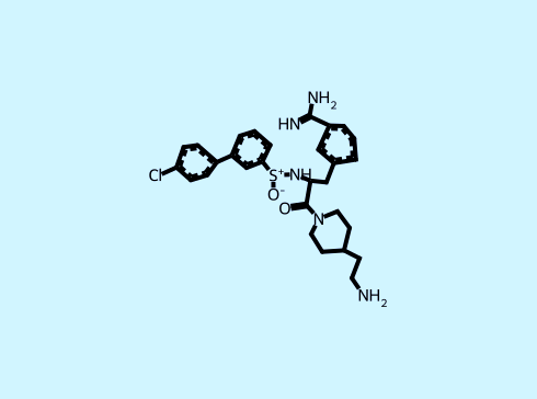 N=C(N)c1cccc(CC(N[S+]([O-])c2cccc(-c3ccc(Cl)cc3)c2)C(=O)N2CCC(CCN)CC2)c1